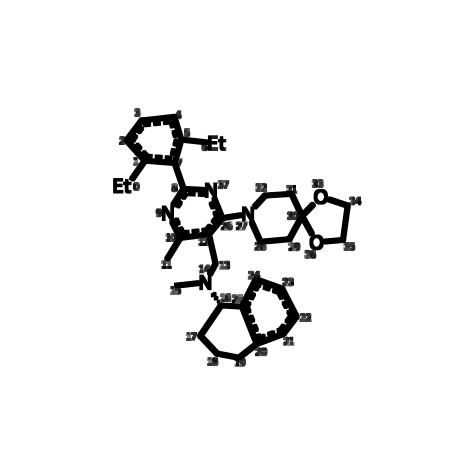 CCc1cccc(CC)c1-c1nc(C)c(CN(C)[C@H]2CCCc3ccccc32)c(N2CCC3(CC2)OCCO3)n1